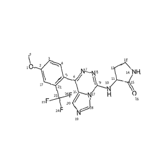 COc1ccc(-c2nnc(NC3CCNC3=O)n3cncc23)c(C(F)(F)F)c1